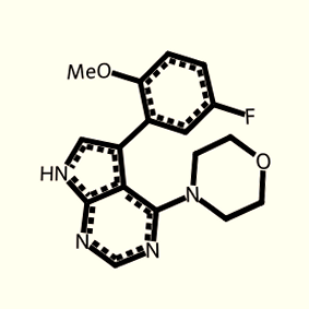 COc1ccc(F)cc1-c1c[nH]c2ncnc(N3CCOCC3)c12